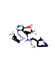 Cc1oc2ncnc(NC3(C)CC3)c2c1C(=O)N(C)Cc1cccnc1